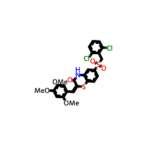 COc1cc(OC)c(/C=C2/Sc3ccc(S(=O)(=O)Cc4c(Cl)cccc4Cl)cc3NC2=O)c(OC)c1